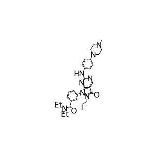 C=CCn1c(=O)c2cnc(Nc3ccc(N4CCN(C)CC4)cc3)nc2n1-c1cccc(C(=O)N(CC)CC)c1